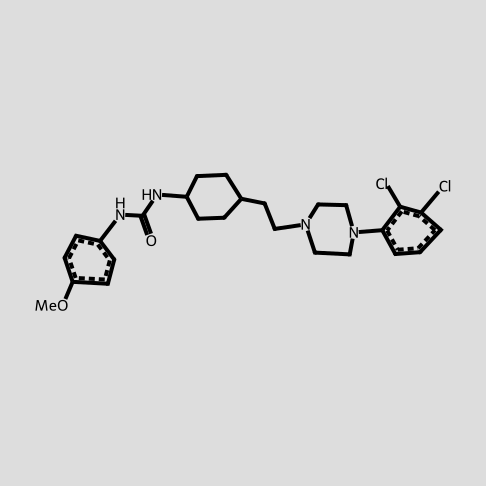 COc1ccc(NC(=O)NC2CCC(CCN3CCN(c4cccc(Cl)c4Cl)CC3)CC2)cc1